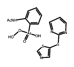 CC(=O)Nc1ccccc1[As](=O)(O)OO.c1cnc(Sc2cncs2)nc1